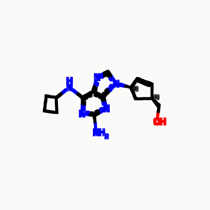 Nc1nc(NC2CCC2)c2ncn([C@H]3C=C[C@@H](CO)C3)c2n1